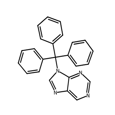 c1ccc(C(c2ccccc2)(c2ccccc2)n2cnc3cncnc32)cc1